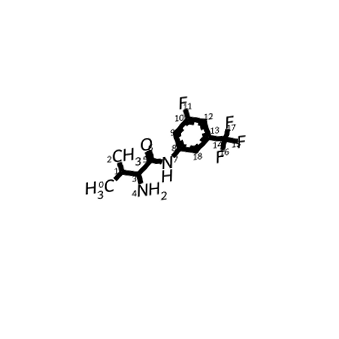 CC(C)C(N)C(=O)Nc1cc(F)cc(C(F)(F)F)c1